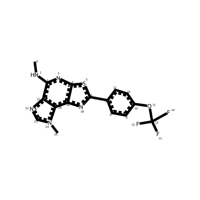 CNc1nc2sc(-c3ccc(OC(F)(F)F)cc3)nc2c2c1ncn2C